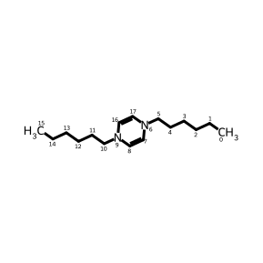 CCCCCCN1C=CN(CCCCCC)C=C1